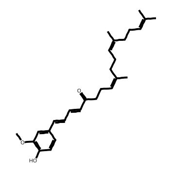 COc1cc(C=CC=CC(=O)CCC=C(C)CCC=C(C)CCC=C(C)C)ccc1O